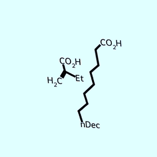 C=C(CC)C(=O)O.CCCCCCCCCCCCCCCCCC(=O)O